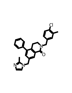 Cc1cc(CN2CCc3c(cc(Cn4ccnc4C)cc3-c3ccccc3)C2=O)ccc1Cl